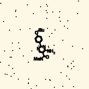 CCC(C)Oc1ccc(-c2ncc(C(=O)NC)c(N)n2)cc1